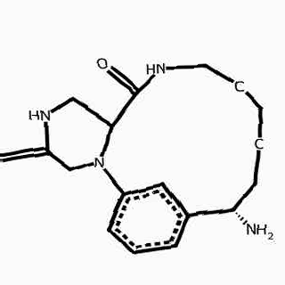 N[C@H]1CCCCCNC(=O)C2CNC(=O)CN2c2cccc1c2